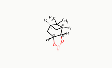 CC1(C)[C@H]2C[C@@H]1[C@@H]1OBO[C@@H]1C2